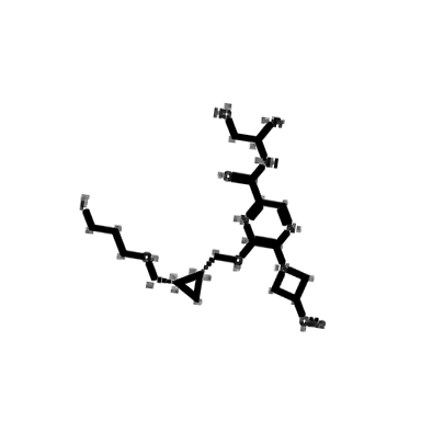 COC1CN(c2ncc(C(=O)NC(CO)C(C)C)nc2OC[C@@H]2C[C@@H]2COCCCF)C1